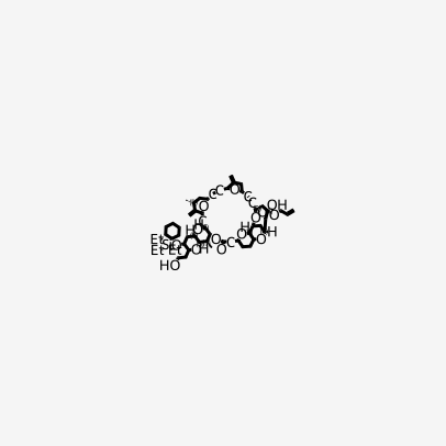 C=CCO[C@@]1(O)C[C@]23CCC4CC(=C)C(CCC5C[C@@H](C)C(=C)C(C[C@@H]6O[C@H]7CC(OC8([Si](CC)(CC)CC)CCCCC8)C(CCO)O[C@H]7[C@H](C)C6OC(=O)CC6CCC7O[C@H](CC(O2)[C@H]7O6)C1O3)O5)O4